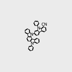 N#Cc1cccc2c3ccc(-n4c5ccccc5c5ccc6c(c7ccccc7n6-c6ccccc6)c54)cc3n(-c3ccccc3)c12